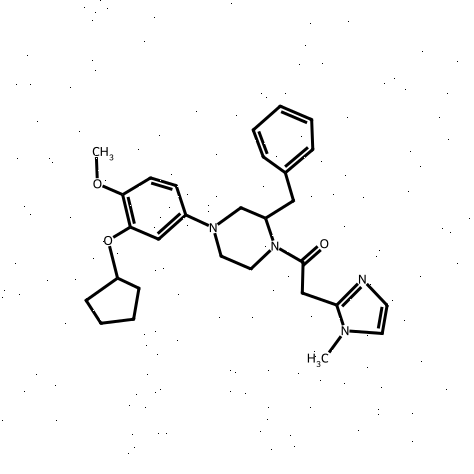 COc1ccc(N2CCN(C(=O)Cc3nccn3C)C(Cc3ccccc3)C2)cc1OC1CCCC1